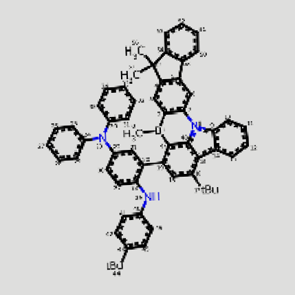 CB1c2cc3c(cc2-n2c4ccccc4c4c(C(C)(C)C)cc(-c5cc(N(c6ccccc6)c6ccccc6)ccc5Nc5ccc(C(C)(C)C)cc5)c1c42)-c1ccccc1C3(C)C